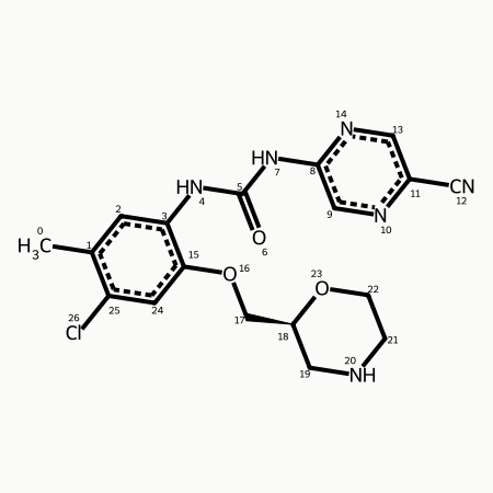 Cc1cc(NC(=O)Nc2cnc(C#N)cn2)c(OC[C@@H]2CNCCO2)cc1Cl